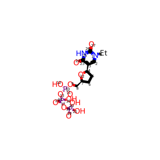 CCn1cc([C@H]2CC[C@@H](COP(=O)(O)OP(=O)(O)OP(=O)(O)O)O2)c(=O)[nH]c1=O